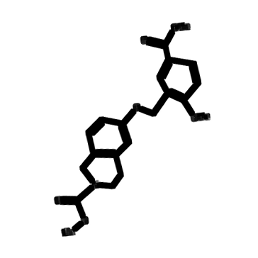 COC(=O)c1ccc(OC)c(COc2ccc3c(c2)CCN(C(=O)OC(C)(C)C)C3)c1